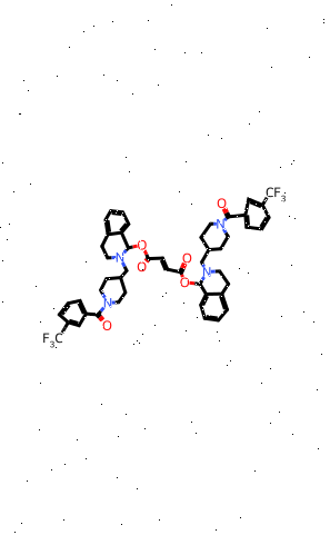 O=C(/C=C/C(=O)OC1c2ccccc2CCN1CC1CCN(C(=O)c2cccc(C(F)(F)F)c2)CC1)OC1c2ccccc2CCN1CC1CCN(C(=O)c2cccc(C(F)(F)F)c2)CC1